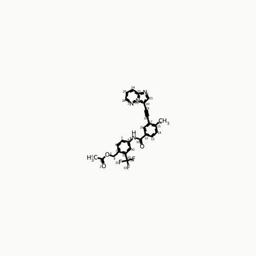 CC(=O)OCc1ccc(NC(=O)c2ccc(C)c(C#Cc3cnc4cccnn34)c2)cc1C(F)(F)F